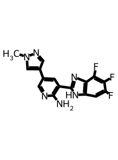 Cn1cc(-c2cnc(N)c(-c3nc4c(F)c(F)c(F)cc4[nH]3)c2)cn1